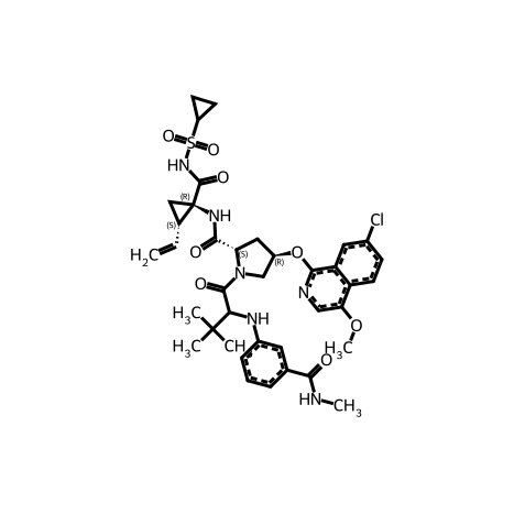 C=C[C@@H]1C[C@]1(NC(=O)[C@@H]1C[C@@H](Oc2ncc(OC)c3ccc(Cl)cc23)CN1C(=O)C(Nc1cccc(C(=O)NC)c1)C(C)(C)C)C(=O)NS(=O)(=O)C1CC1